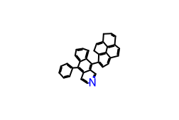 C1=Cc2ccc3ccc(-c4c5ccccc5c(-c5ccccc5)c5ccncc45)c4c3c2C(=CC4)C1